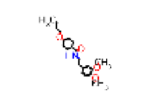 CCCCOC1CCC(C(=O)NCCc2ccc(OC)c(OC)c2)CC1